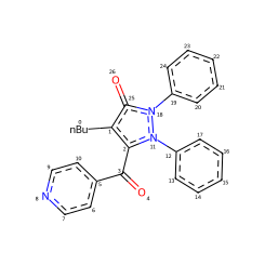 CCCCc1c(C(=O)c2ccncc2)n(-c2ccccc2)n(-c2ccccc2)c1=O